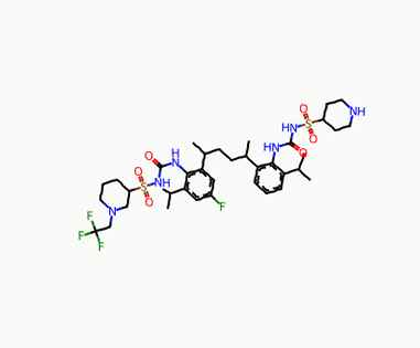 CC(C)c1cccc(C(C)CCC(C)c2cc(F)cc(C(C)C)c2NC(=O)NS(=O)(=O)C2CCCN(CC(F)(F)F)C2)c1NC(=O)NS(=O)(=O)C1CCNCC1